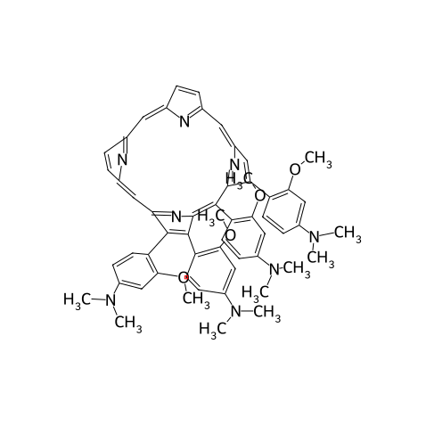 COc1cc(N(C)C)ccc1C1=CC2=CC3=NC(=CC4=NC(=CC5=NC(=C(c6ccc(N(C)C)cc6OC)C1=N2)C(c1ccc(N(C)C)cc1OC)=C5c1ccc(N(C)C)cc1OC)C=C4)C=C3